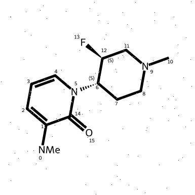 CNc1cccn([C@H]2CCN(C)C[C@@H]2F)c1=O